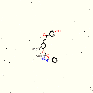 COc1cc(/C=C/C(=O)c2ccc(O)cc2)ccc1OCC1(OC)NN=C(c2ccccc2)O1